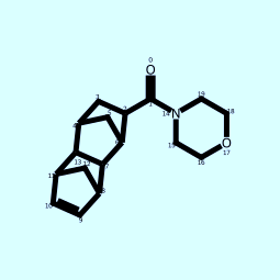 O=C(C1CC2CC1C1C3C=CC(C3)C21)N1CCOCC1